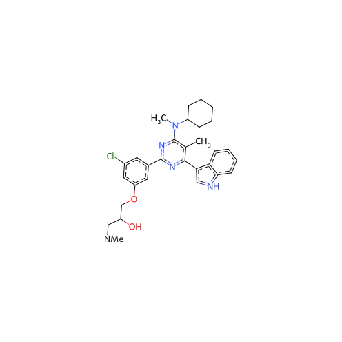 CNCC(O)COc1cc(Cl)cc(-c2nc(-c3c[nH]c4ccccc34)c(C)c(N(C)C3CCCCC3)n2)c1